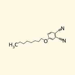 CCCCCCCCOc1ccc(C#N)c(C#N)c1